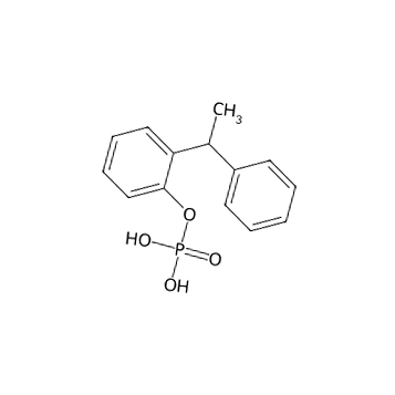 CC(c1ccccc1)c1ccccc1OP(=O)(O)O